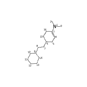 CN(C)C1=CCC(CCC2CCCCC2)CC1